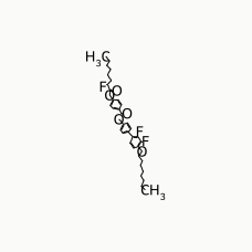 CCCCCCCCOc1ccc(-c2ccc(OC(=O)c3ccc(OC(=O)C(F)CCCCCC)cc3)cc2)c(F)c1F